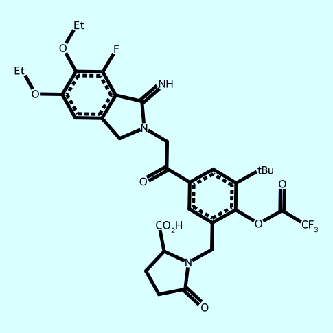 CCOc1cc2c(c(F)c1OCC)C(=N)N(CC(=O)c1cc(CN3C(=O)CCC3C(=O)O)c(OC(=O)C(F)(F)F)c(C(C)(C)C)c1)C2